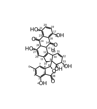 Cc1cc(O)c2c(c1)[C@@H]([C@]13CC4=C(C5C(=O)c6c(O)ccc(O)c6C(=O)C5C(O)=C4)[C@H]1C=C[C@@H](O)[C@H]3O)OC2=O